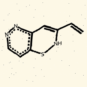 C=CC1=Cc2nnccc2SN1